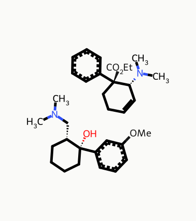 CCOC(=O)[C@]1(c2ccccc2)CCC=C[C@H]1N(C)C.COc1cccc([C@@]2(O)CCCC[C@@H]2CN(C)C)c1